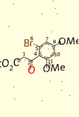 CCOC(=O)CC(=O)c1c(Br)cc(OC)cc1OC